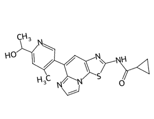 Cc1cc(C(C)O)ncc1-c1cc2nc(NC(=O)C3CC3)sc2n2ccnc12